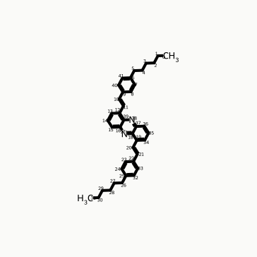 CCCCCCc1ccc(/C=C/c2cccc3nc4c(/C=C/c5ccc(CCCCCC)cc5)cccc4nc23)cc1